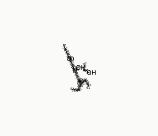 CCCCC1CC1CCO.CCCCCCCCCOC(=O)CCCCCCCN(CCO)CCCCCCCC(=O)OC(CCC1CC1CCCC)CCC1CC1CCCC